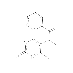 CC(C(=O)c1ccccc1)c1c[nH]c(=O)nc1N